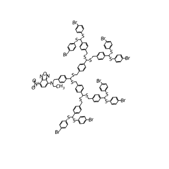 CCN(Cc1ccc(C(SCc2ccc(C(SCc3ccc(C(Sc4ccc(Br)cc4)Sc4ccc(Br)cc4)cc3)SCc3ccc(C(Sc4ccc(Br)cc4)Sc4ccc(Br)cc4)cc3)cc2)SCc2ccc(C(SCc3ccc(C(Sc4ccc(Br)cc4)Sc4ccc(Br)cc4)cc3)SCc3ccc(C(Sc4ccc(Br)cc4)Sc4ccc(Br)cc4)cc3)cc2)cc1)c1ccc([N+](=O)[O-])c2nonc12